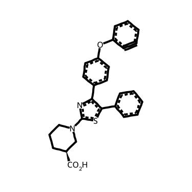 O=C(O)[C@H]1CCCN(c2nc(-c3ccc(Oc4c#cccc4)cc3)c(-c3ccccc3)s2)C1